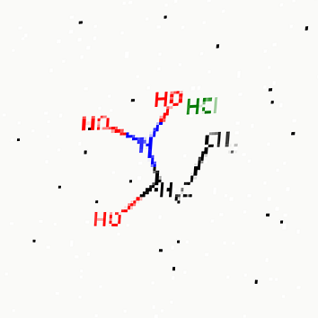 CC.Cl.OCN(O)O